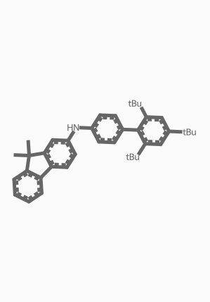 CC(C)(C)c1cc(C(C)(C)C)c(-c2ccc(Nc3ccc4c(c3)C(C)(C)c3ccccc3-4)cc2)c(C(C)(C)C)c1